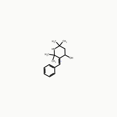 CC1(C)CC(O)/C(=C/c2ccccc2)C(C)(C)N1